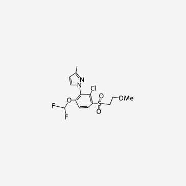 COCCS(=O)(=O)c1ccc(OC(F)F)c(-n2ccc(C)n2)c1Cl